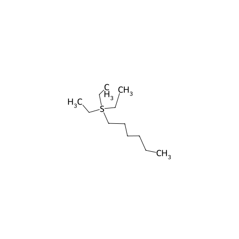 CCCCCCS(CC)(CC)CC